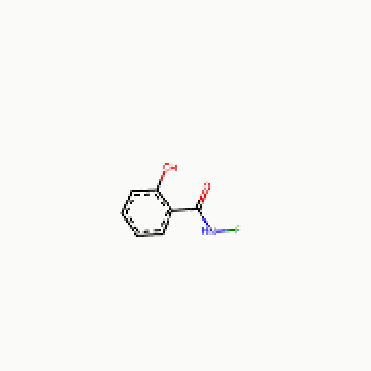 O=C(NF)c1ccccc1O